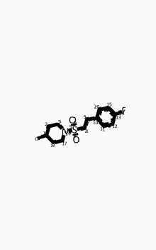 [CH2]C1CCN(S(=O)(=O)CCc2ccc(F)cc2)CC1